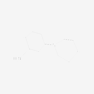 NC1CCCC(N2CCCCC2)C1